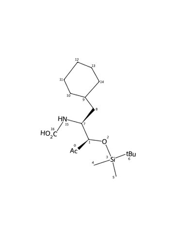 CC(=O)[C@H](O[Si](C)(C)C(C)(C)C)[C@H](CC1CCCCC1)NC(=O)O